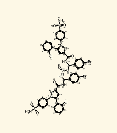 NS(=O)(=O)c1ccc(-n2nc(C(=O)NC(O[PH](=O)OC(NC(=O)c3cc(-c4ccccc4Cl)n(-c4ccc(S(N)(=O)=O)cc4)n3)c3ccc(Br)cc3)c3ccc(Br)cc3)cc2-c2ccccc2Cl)cc1